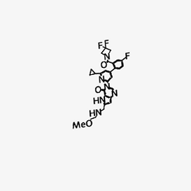 COCCNCc1cc2ncn(-c3cc(-c4ccc(F)cc4C(=O)N4CC(F)(F)C4)cc(C4CC4)n3)c(=O)c2[nH]1